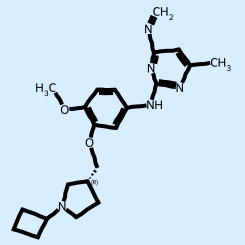 C=Nc1cc(C)nc(Nc2ccc(OC)c(OC[C@@H]3CCN(C4CCC4)C3)c2)n1